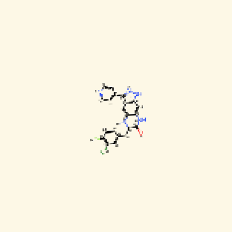 CN1c2cc3c(-c4ccncc4)n[nH]c3cc2NC(=O)C1Cc1ccc(F)c(Cl)c1